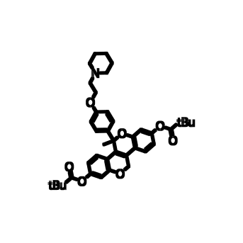 CC(C)(C)C(=O)Oc1ccc2c(c1)OC(C)(c1ccc(OCCN3CCCCC3)cc1)C1=C2COc2cc(OC(=O)C(C)(C)C)ccc21